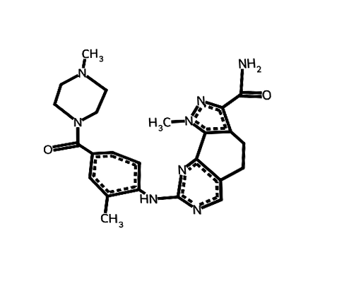 Cc1cc(C(=O)N2CCN(C)CC2)ccc1Nc1ncc2c(n1)-c1c(c(C(N)=O)nn1C)CC2